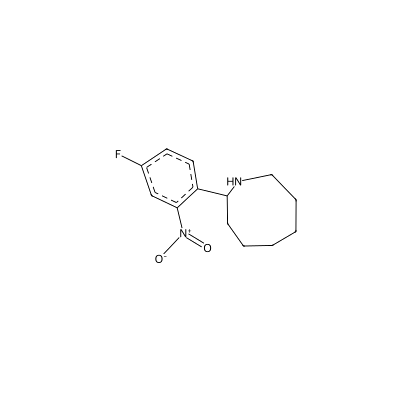 O=[N+]([O-])c1cc(F)ccc1C1CCCCCCN1